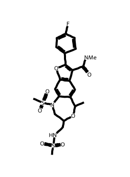 CNC(=O)c1c(-c2ccc(F)cc2)oc2cc3c(cc12)C(C)OC(CNS(C)(=O)=O)CN3S(C)(=O)=O